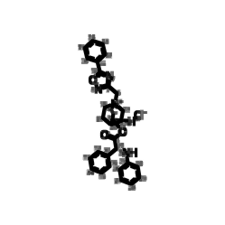 O=C(O[C@H]1C[N+]2(Cc3noc(-c4ccccc4)n3)CCC1CC2)[C@H](Nc1ccccc1)c1ccccc1.[Cl-]